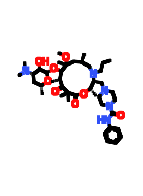 CCCN1C[C@H](C)C[C@@](C)(OC)[C@H](O[C@@H]2O[C@H](C)C[C@H](N(C)C)[C@H]2O)[C@@H](C)C(=O)C(C)(C)C(=O)O[C@@H](C)[C@@H]1CN1CCN(C(=O)Nc2ccccc2)CC1